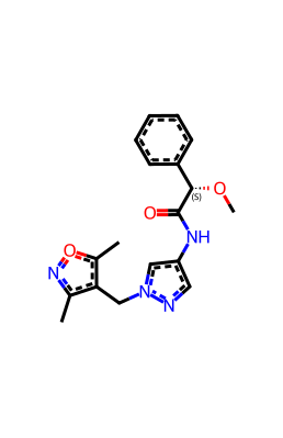 CO[C@H](C(=O)Nc1cnn(Cc2c(C)noc2C)c1)c1ccccc1